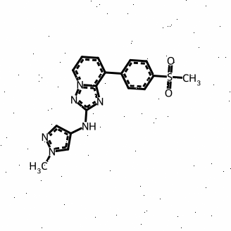 Cn1cc(Nc2nc3c(-c4ccc(S(C)(=O)=O)cc4)cccn3n2)cn1